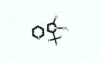 Cn1c(Cl)ccc1C(F)(F)F.c1ccncc1